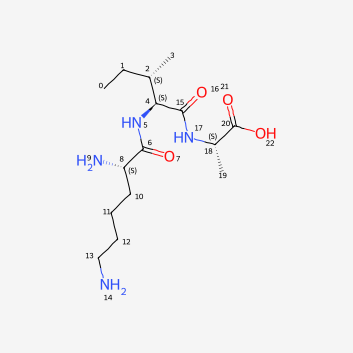 CC[C@H](C)[C@H](NC(=O)[C@@H](N)CCCCN)C(=O)N[C@@H](C)C(=O)O